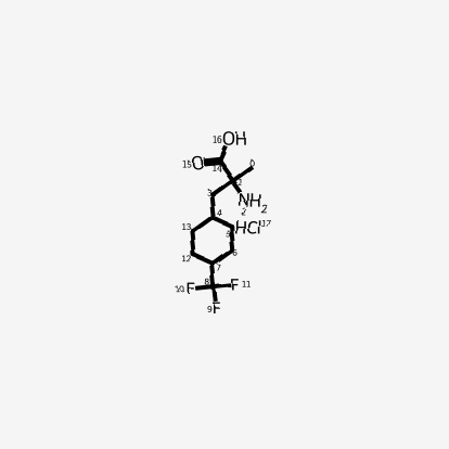 CC(N)(CC1CCC(C(F)(F)F)CC1)C(=O)O.Cl